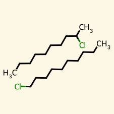 CCCCCCCCC(C)Cl.CCCCCCCCCCCl